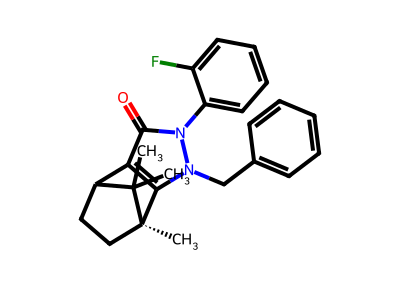 CC1(C)C2CC[C@]1(C)c1c2c(=O)n(-c2ccccc2F)n1Cc1ccccc1